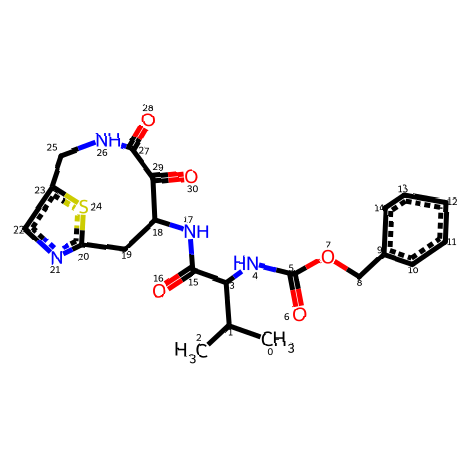 CC(C)C(NC(=O)OCc1ccccc1)C(=O)NC1Cc2ncc(s2)CNC(=O)C1=O